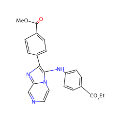 CCOC(=O)c1ccc(Nc2c(-c3ccc(C(=O)OC)cc3)nc3cnccn23)cc1